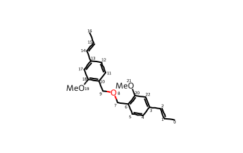 CC=Cc1ccc(COCc2ccc(C=CC)cc2OC)c(OC)c1